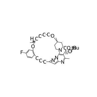 Cc1nc2cc3nn2c(c1[C@H](OC(C)(C)C)C(=O)O)N1CCC(C)(CC1)OCCCC[C@@H](C)Oc1cc(F)ccc1CCC3